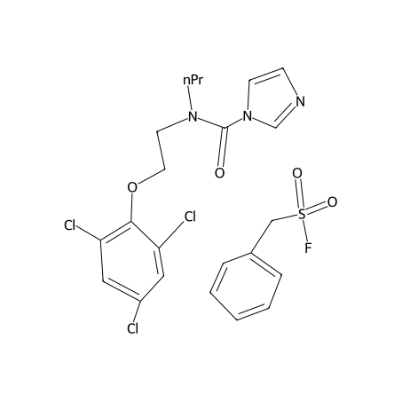 CCCN(CCOc1c(Cl)cc(Cl)cc1Cl)C(=O)n1ccnc1.O=S(=O)(F)Cc1ccccc1